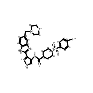 O=C(Nc1c[nH]nc1-c1nc2cc(CN3CCOCC3)ccc2[nH]1)C1CCN(S(=O)(=O)c2ccc(F)cc2)CC1